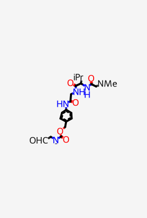 CNCC(=O)NC(C(=O)NCC(=O)Nc1ccc(COC(=O)N(C)CC=O)cc1)C(C)C